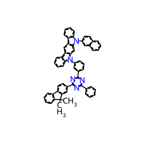 CC1(C)c2ccccc2-c2ccc(-c3nc(-c4ccccc4)nc(-c4cccc(-n5c6ccccc6c6cc7c8ccccc8n(-c8ccc9ccccc9c8)c7cc65)c4)n3)cc21